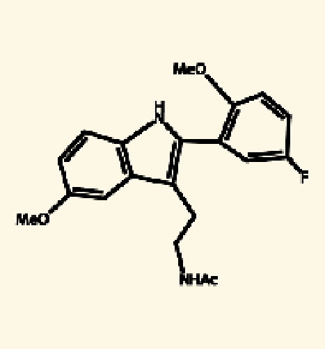 COc1ccc2[nH]c(-c3cc(F)ccc3OC)c(CCNC(C)=O)c2c1